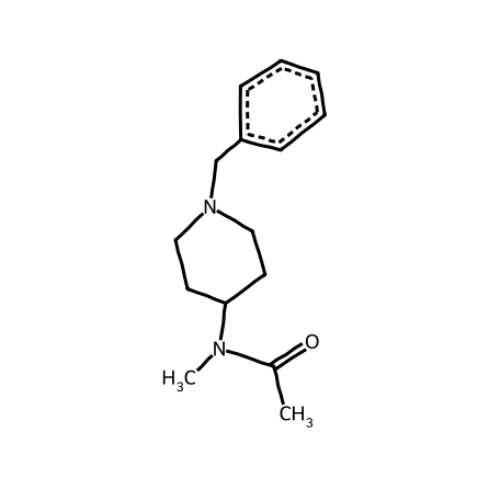 CC(=O)N(C)C1CCN(Cc2ccccc2)CC1